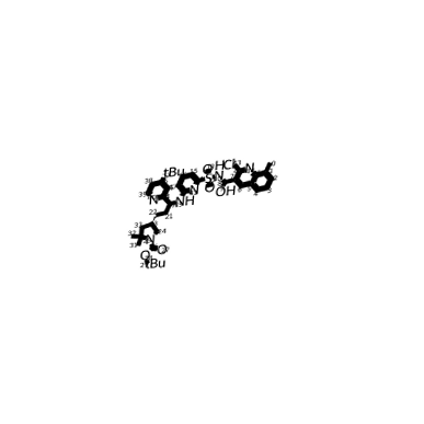 Cc1cccc2cc(C(O)NS(=O)(=O)c3cccc(NC(CC[C@@H]4CN(C(=O)OC(C)(C)C)C(C)(C)C4)c4cc(C(C)(C)C)ccn4)n3)c(Cl)nc12